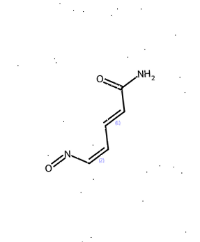 NC(=O)/C=C/C=C\N=O